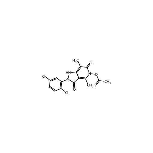 CC(=O)On1c(C)c2c(=O)n(-c3cc(Cl)ccc3Cl)[nH]c2c(C)c1=O